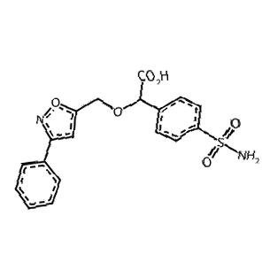 NS(=O)(=O)c1ccc(C(OCc2cc(-c3ccccc3)no2)C(=O)O)cc1